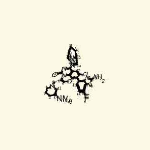 CNC1CCCN(C[C@H]2COc3c(-c4ccc(F)c5sc(N)nc45)c(Cl)cc4c(N5CC6CCC(C5)N6)nc(=O)n2c34)C1